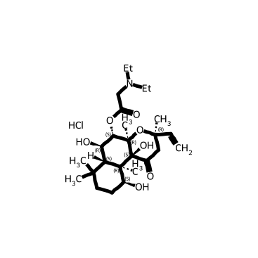 C=C[C@@]1(C)CC(=O)[C@]2(O)[C@@]3(C)[C@@H](O)CCC(C)(C)[C@@H]3[C@@H](O)[C@H](OC(=O)CN(CC)CC)[C@@]2(C)O1.Cl